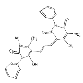 [C-]#[N+]C1=C(C)/C(=C/C=Cc2c(C)c(C#N)c(=O)n(-c3ccccc3)c2O)C(=O)N(c2ccccc2)C1=O